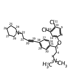 CN(C)CCC(Oc1ccc(Cl)c(Cl)c1)c1ccc(C#CCCN2CCCCC2)cc1